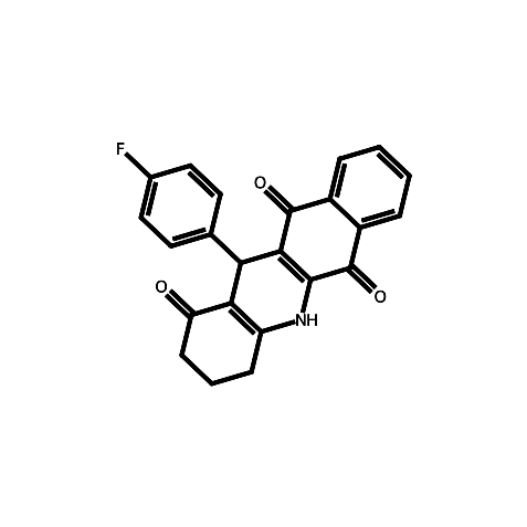 O=C1CCCC2=C1C(c1ccc(F)cc1)C1=C(N2)C(=O)c2ccccc2C1=O